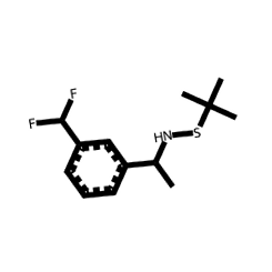 CC(NSC(C)(C)C)c1cccc(C(F)F)c1